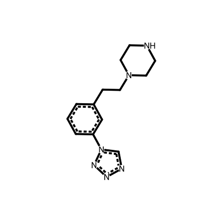 c1cc(CCN2CCNCC2)cc(-n2cnnn2)c1